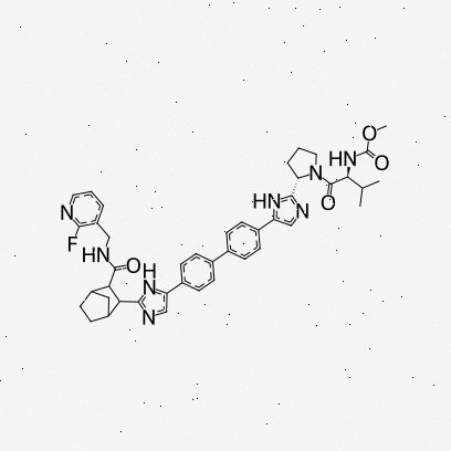 COC(=O)N[C@H](C(=O)N1CCC[C@H]1c1ncc(-c2ccc(-c3ccc(-c4cnc(C5C6CCC(C6)C5C(=O)NCc5cccnc5F)[nH]4)cc3)cc2)[nH]1)C(C)C